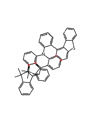 CC1(C)c2ccccc2-c2cc(-c3ccccc3N(c3ccccc3-c3cccc4sc5ccccc5c34)c3cccc4c3-c3ccccc3C4(C)C)ccc21